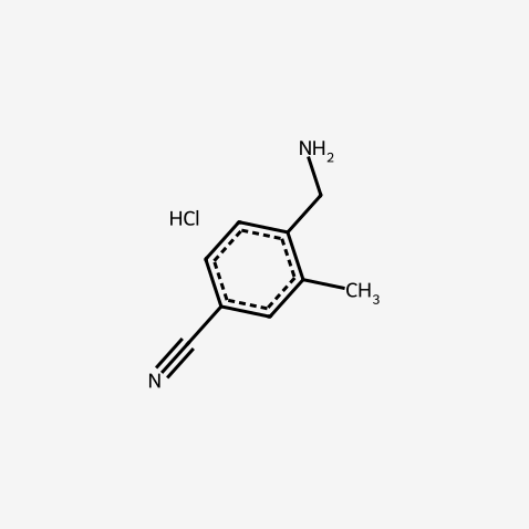 Cc1cc(C#N)ccc1CN.Cl